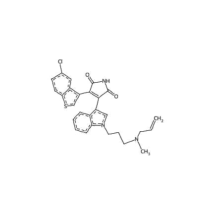 C=CCN(C)CCCn1cc(C2=C(c3csc4ccc(Cl)cc34)C(=O)NC2=O)c2ccccc21